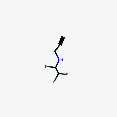 C#CCNC(F)C(F)F